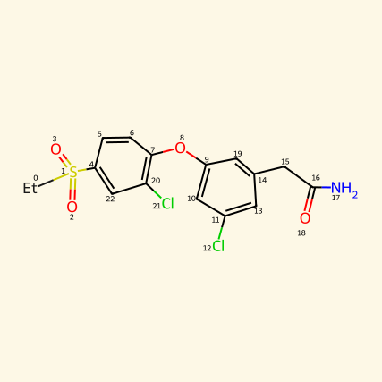 CCS(=O)(=O)c1ccc(Oc2cc(Cl)cc(CC(N)=O)c2)c(Cl)c1